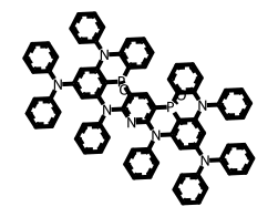 O=P12c3ccccc3N(c3ccccc3)c3cc(N(c4ccccc4)c4ccccc4)cc(c31)N(c1ccccc1)c1nc3c(cc12)P1(=O)c2ccccc2N(c2ccccc2)c2cc(N(c4ccccc4)c4ccccc4)cc(c21)N3c1ccccc1